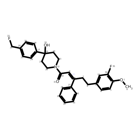 COc1ccc(CC/C(=C/C(=O)N2CCC(O)(c3ccc(CF)cc3)CC2)c2ccccc2)cc1F